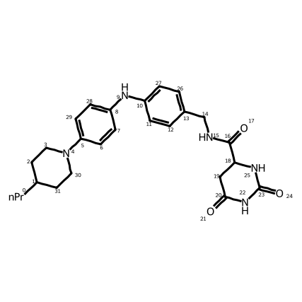 CCCC1CCN(c2ccc(Nc3ccc(CNC(=O)C4CC(=O)NC(=O)N4)cc3)cc2)CC1